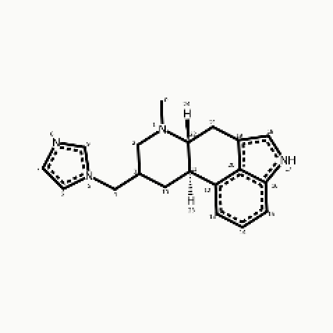 CN1CC(Cn2ccnc2)C[C@@H]2c3cccc4[nH]cc(c34)C[C@H]21